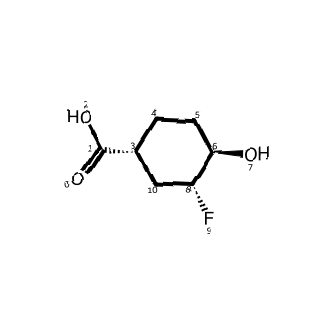 O=C(O)[C@@H]1CC[C@@H](O)[C@H](F)C1